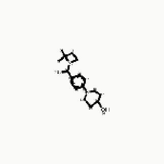 CC1(C)CCN1C(=O)c1ccc(N2CCC(O)CC2)cc1